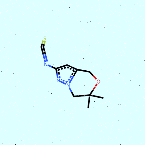 CC1(C)Cn2nc(N=C=S)cc2CO1